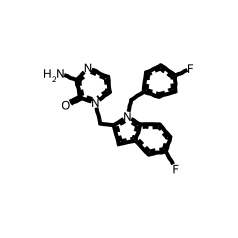 Nc1nccn(Cc2cc3cc(F)ccc3n2Cc2ccc(F)cc2)c1=O